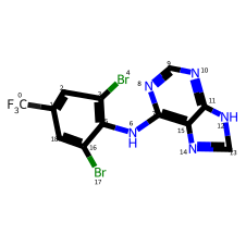 FC(F)(F)c1cc(Br)c(Nc2ncnc3[nH]cnc23)c(Br)c1